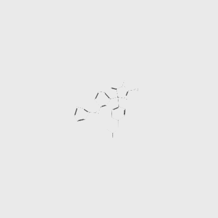 CN1C(=O)C(C2=CCC(OC(F)F)C=C2)(c2cccc(Nc3ccccc3)c2)N=C1N